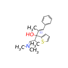 C/C(=C\c1ccccc1)C(O)(c1cccs1)C(C)CN(C)C